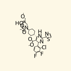 COC[C@H](O)CN([C@H]1CC[C@H](C2=C(C(=O)OC)C(c3ccc(F)c(F)c3Cl)N=C(c3nccs3)N2)CC1)S(C)(=O)=O